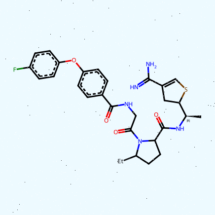 CCC1CCC(C(=O)N[C@H](C)C2CC(C(=N)N)=CS2)N1C(=O)CNC(=O)c1ccc(Oc2ccc(F)cc2)cc1